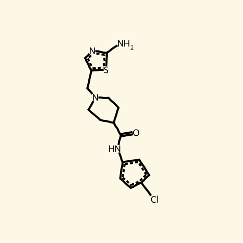 Nc1ncc(CN2CCC(C(=O)Nc3ccc(Cl)cc3)CC2)s1